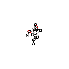 N#Cc1ccccc1-c1ccc(-n2c3ccccc3c3cc(-c4ccccc4)ccc32)c(-c2cccc(-n3c4ccccc4c4cc(-c5ccccc5)ccc43)c2-c2nc(-c3ccccc3)nc(-c3ccccc3)n2)c1